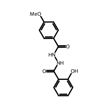 COc1ccc(C(=O)NNC(=O)c2ccccc2O)cc1